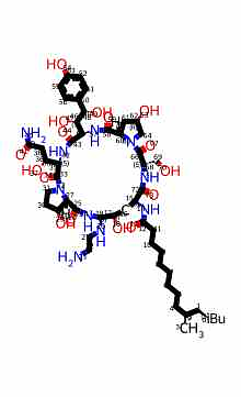 CC[C@H](C)C[C@H](C)CCCCCCCCC(=O)N[C@H]1C[C@@H](O)[C@@H](NCCN)NC(=O)[C@@H]2[C@@H](O)CCN2C(=O)[C@H]([C@H](O)CC(N)=O)NC(=O)[C@H]([C@H](O)[C@@H](O)c2ccc(O)cc2)NC(=O)[C@@H]2C[C@@H](O)CN2C(=O)[C@H](CO)NC1=O